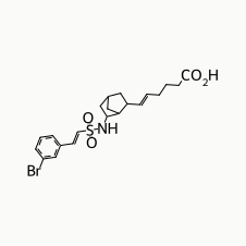 O=C(O)CCC/C=C/C1CC2CC(NS(=O)(=O)/C=C/c3cccc(Br)c3)C1C2